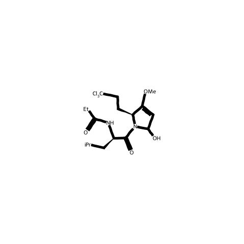 CCC(=O)N[C@H](CC(C)C)C(=O)N1C(O)C=C(OC)[C@@H]1CCC(Cl)(Cl)Cl